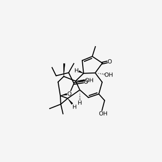 CCC(C)C(=O)O[C@@]12C[C@@H](C)[C@@]3(O)[C@@H](C=C(CO)C[C@]4(O)C(=O)C(C)=C[C@@H]34)[C@@H]1C2(C)C